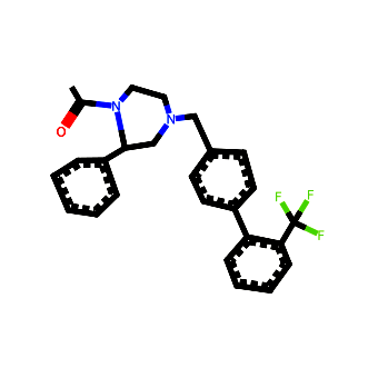 CC(=O)N1CCN(Cc2ccc(-c3ccccc3C(F)(F)F)cc2)CC1c1ccccc1